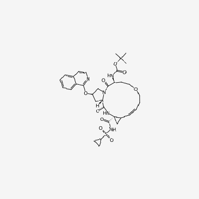 CC(C)(C)OC(=O)N[C@H]1CCOCC/C=C\C2C[C@@]2(C(=O)NS(=O)(=O)C2CC2)NC(=O)[C@@H]2CC(Oc3nccc4ccccc34)CN2C1=O